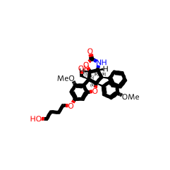 COc1ccc([C@@]23Oc4cc(OCCCCO)cc(OC)c4[C@]2(CO)[C@@H]2OC(=O)N[C@@H]2[C@H]3c2ccccc2)cc1